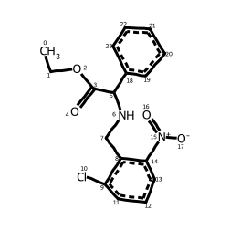 CCOC(=O)C(NCc1c(Cl)cccc1[N+](=O)[O-])c1ccccc1